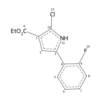 CCOC(=O)c1cc(-c2ccccc2F)[nH]c1Cl